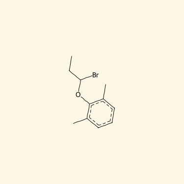 CCC(Br)Oc1c(C)cccc1C